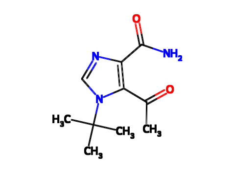 CC(=O)c1c(C(N)=O)ncn1C(C)(C)C